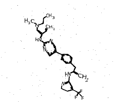 C=C/C(=C\N(C)CCC)Nc1ncc(-c2ccc(CC(=C)NC3=NCCC(C(F)(F)F)=C3)cc2)cn1